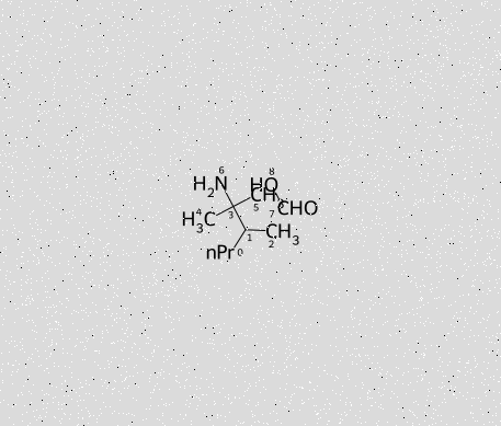 CCCC(C)C(C)(C)N.O=CO